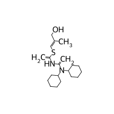 C=C(NC(=C)N(C1CCCCC1)C1CCCCC1)S/C=C(\C)CO